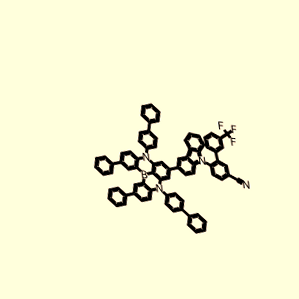 N#Cc1ccc(-n2c3ccccc3c3cc(-c4cc5c6c(c4)N(c4ccc(-c7ccccc7)cc4)c4ccc(-c7ccccc7)cc4B6c4cc(-c6ccccc6)ccc4N5c4ccc(-c5ccccc5)cc4)ccc32)c(-c2cccc(C(F)(F)F)c2)c1